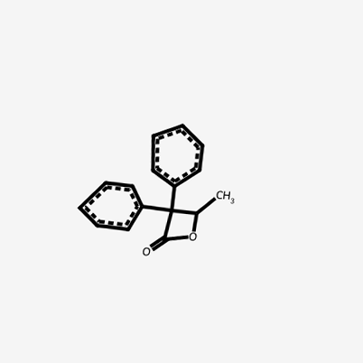 CC1OC(=O)C1(c1ccccc1)c1ccccc1